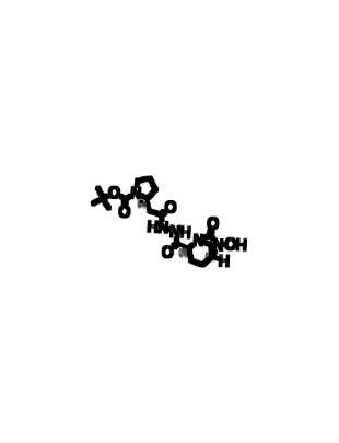 CC(C)(C)OC(=O)N1CCC[C@H]1CC(=O)NNC(=O)[C@@H]1CC[C@@H]2CN1C(=O)N2O